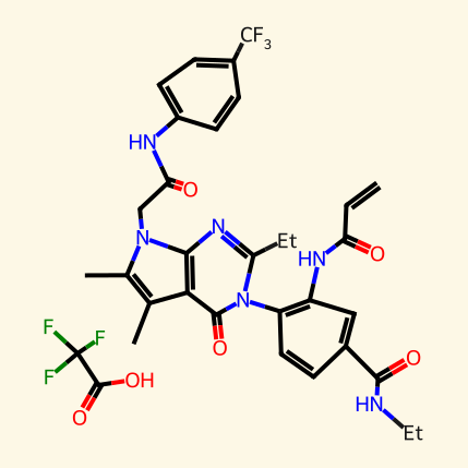 C=CC(=O)Nc1cc(C(=O)NCC)ccc1-n1c(CC)nc2c(c(C)c(C)n2CC(=O)Nc2ccc(C(F)(F)F)cc2)c1=O.O=C(O)C(F)(F)F